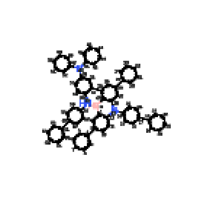 B1c2cc(-c3ccccc3)ccc2N(c2ccc(-c3ccccc3)cc2)c2cc(-c3ccccc3)cc(-c3cc(N(c4ccccc4)c4ccccc4)ccc3Nc3ccc(-c4ccccc4)cc3)c21